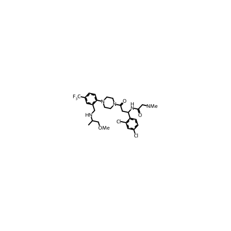 CNCC(=O)NC(CC(=O)N1CCN(c2ccc(C(F)(F)F)cc2CNC(C)COC)CC1)c1ccc(Cl)cc1Cl